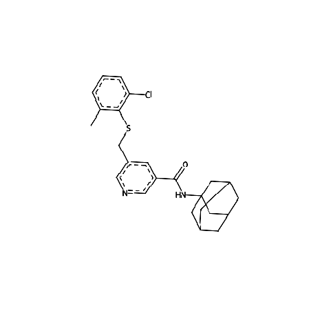 Cc1cccc(Cl)c1SCc1cncc(C(=O)NC23CC4CC(CC(C4)C2)C3)c1